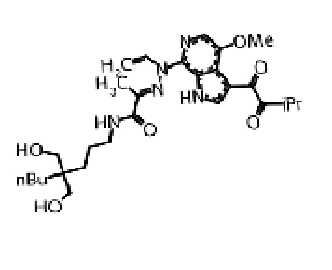 C=CN(/N=C(\C)C(=O)NCCCC(CO)(CO)CCCC)c1ncc(OC)c2c(C(=O)C(=O)C(C)C)c[nH]c12